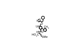 CSCCC(NC(=O)c1ccc(COC(CC2CCCCC2)c2cncs2)cc1-c1ccccc1C)C(=O)O.[LiH]